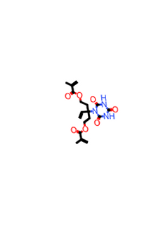 C=CC(CCOC(=O)C(=C)C)(CCOC(=O)C(=C)C)n1c(=O)[nH]c(=O)[nH]c1=O